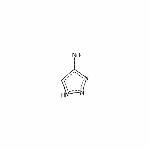 [NH]c1c[nH]nn1